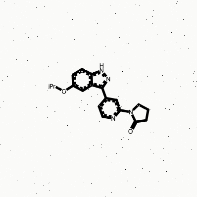 CC(C)Oc1ccc2[nH]nc(-c3ccnc(N4CCCC4=O)c3)c2c1